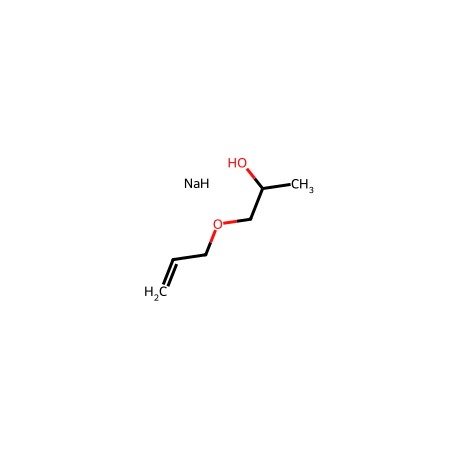 C=CCOCC(C)O.[NaH]